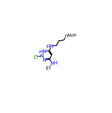 CCCCCCCCCCCCNC1=CC(NCC)=NN(Cl)N1